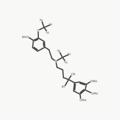 [2H]C([2H])([2H])Oc1cc(CCN(CCCC(C#N)(c2cc(OC)c(OC)c(OC)c2)C(C)C)C([2H])([2H])[2H])ccc1OC